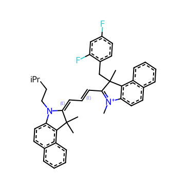 CC(C)CCN1/C(=C/C=C/C2=[N+](C)c3ccc4ccccc4c3C2(C)Cc2ccc(F)cc2F)C(C)(C)c2c1ccc1ccccc21